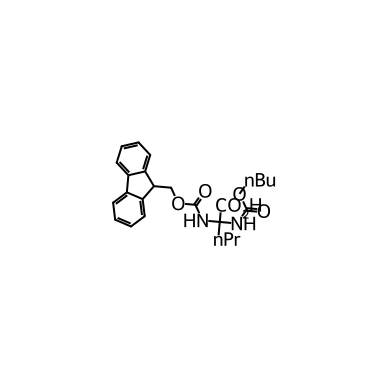 CCCCOC(=O)NC(CCC)(NC(=O)OCC1c2ccccc2-c2ccccc21)C(=O)O